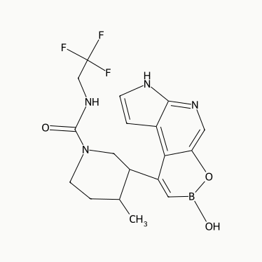 CC1CCN(C(=O)NCC(F)(F)F)CC1C1=CB(O)Oc2cnc3[nH]ccc3c21